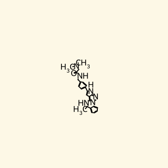 CC(Nc1ncnc2[nH]c(-c3ccc(CNC(=O)CN(C)C)cc3)cc12)c1ccccc1